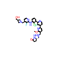 COc1nc(-c2ccnc(-c3cccc(Nc4nccc(CN5CC(CO)C5)c4F)c3Cl)c2F)ccc1CNC[C@@H]1CCC(=O)N1